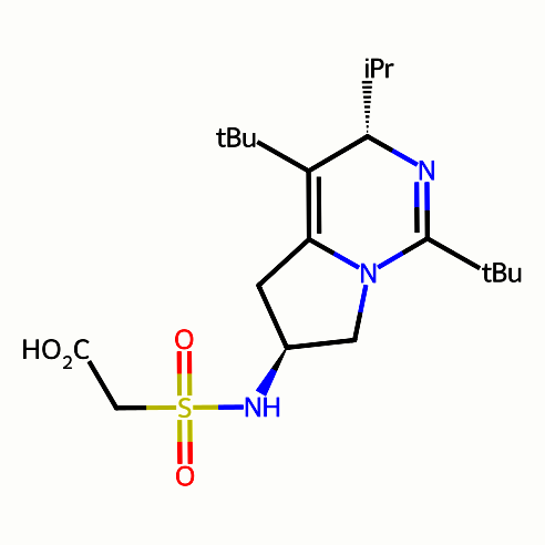 CC(C)[C@@H]1N=C(C(C)(C)C)N2C[C@@H](NS(=O)(=O)CC(=O)O)CC2=C1C(C)(C)C